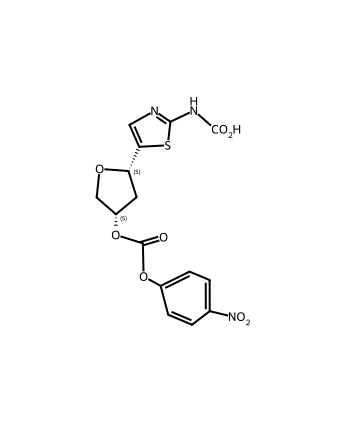 O=C(O)Nc1ncc([C@@H]2C[C@H](OC(=O)Oc3ccc([N+](=O)[O-])cc3)CO2)s1